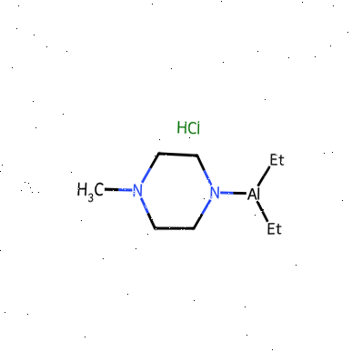 C[CH2][Al]([CH2]C)[N]1CCN(C)CC1.Cl